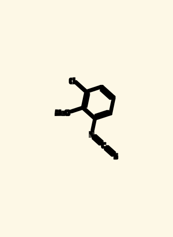 COc1c(Cl)cccc1N=C=S